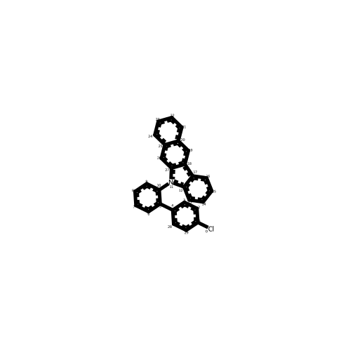 Clc1ccc(-c2ccccc2-n2c3ccccc3c3cc4ccccc4cc32)cc1